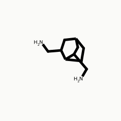 NCC1CC2CCC1C(CN)C2